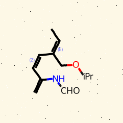 C=C(/C=C\C(=C/C)COC(C)C)NC=O